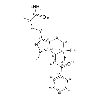 Cc1nn(CCC(C)C(N)=O)c2c1[C@H](OC(=O)c1ccccc1)C(F)(F)CC2